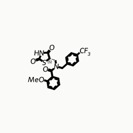 COc1ccccc1C(=O)N(Cc1ccc(C(F)(F)F)cc1)C[C@@H]1SC(=O)NC1=O